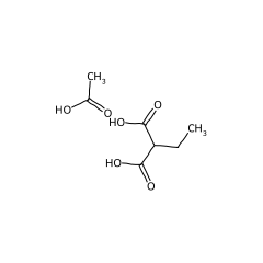 CC(=O)O.CCC(C(=O)O)C(=O)O